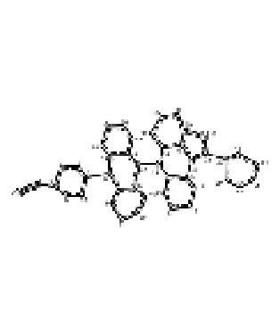 N#Cc1ccc(-c2c3ccccc3c(N3c4ccccc4-n4c(-c5ccccc5)nc5cccc3c54)c3ccccc23)cc1